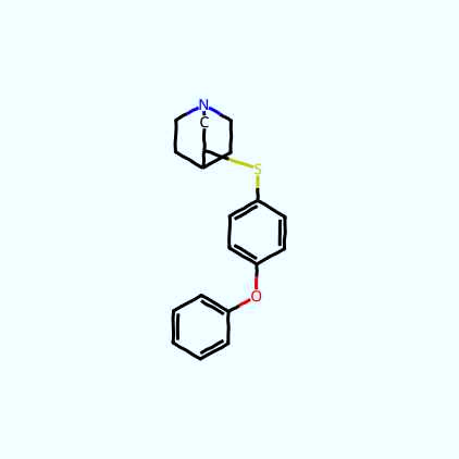 c1ccc(Oc2ccc(SC3CN4CCC3CC4)cc2)cc1